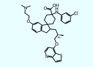 C[C@@H](COc1ccnc2ccsc12)CC1Cc2ccc(OCCN(C)C)cc2C12CCC(Nc1cccc(Cl)c1)(C(=O)O)CC2